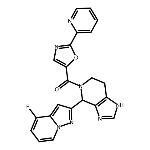 O=C(c1cnc(-c2ccccn2)o1)N1CCc2[nH]cnc2C1c1cc2c(F)cccn2n1